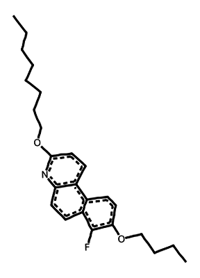 CCCCCCCCOc1ccc2c(ccc3c(F)c(OCCCC)ccc32)n1